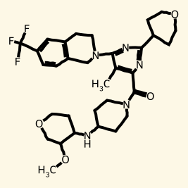 COC1COCCC1NC1CCN(C(=O)c2nc(C3CCOCC3)nc(N3CCc4cc(C(F)(F)F)ccc4C3)c2C)CC1